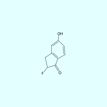 O=C1c2ccc(O)cc2CC1F